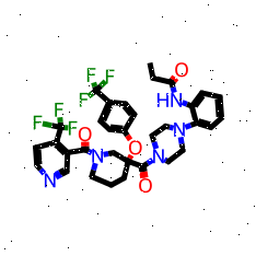 CCC(=O)Nc1ccccc1N1CCN(C(=O)C2(Oc3ccc(C(F)(F)F)cc3)CCCN(C(=O)c3cnccc3C(F)(F)F)C2)CC1